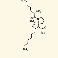 NCCCCCCC[C@H](C(=O)O)[C@@]1(C(=O)O)CCCN1C(=O)[C@@H](N)CCCCN